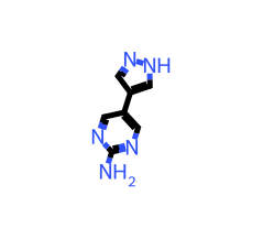 Nc1ncc(-c2cn[nH]c2)cn1